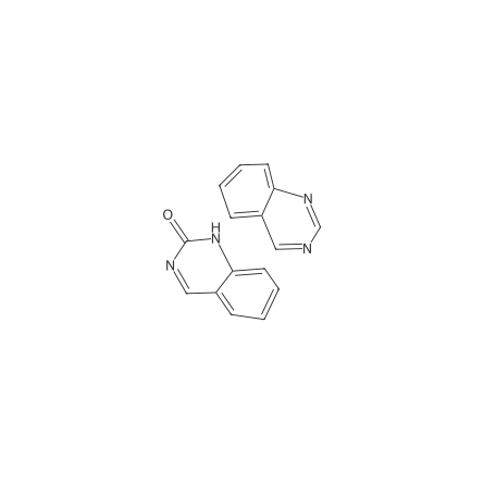 O=c1ncc2ccccc2[nH]1.c1ccc2ncncc2c1